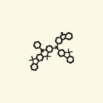 CC1(C)c2ccccc2-c2ccc(N(c3ccc4c(c3)C(C)(C)c3cc5c(cc3N4c3ccccc3)C(C)(C)c3ccccc3-5)c3ccc4sc5ccccc5c4c3)cc21